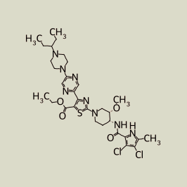 CCOC(=O)c1sc(N2CC[C@@H](NC(=O)c3[nH]c(C)c(Cl)c3Cl)[C@@H](OC)C2)nc1-c1cnc(N2CCN(C(CC)CC)CC2)cn1